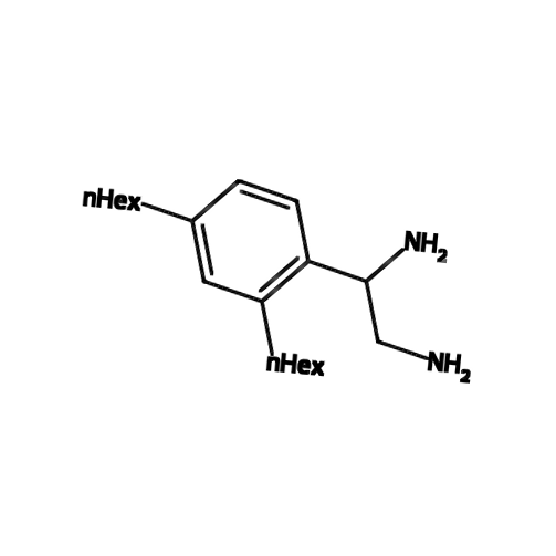 CCCCCCc1ccc(C(N)CN)c(CCCCCC)c1